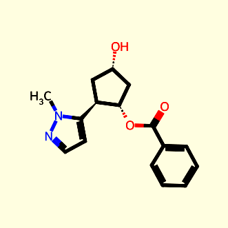 Cn1nccc1[C@H]1C[C@H](O)C[C@@H]1OC(=O)c1ccccc1